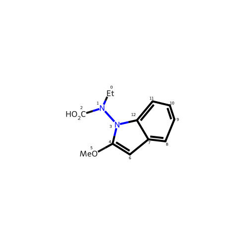 CCN(C(=O)O)n1c(OC)cc2ccccc21